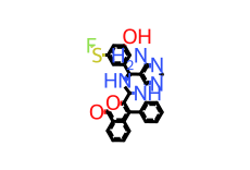 CC(Nc1ncnc(N)c1C(=N)c1cc(O)cc(SF)c1)c1oc(=O)c2ccccc2c1-c1ccccc1